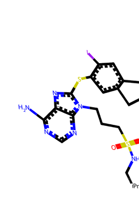 CC(C)CNS(=O)(=O)CCCn1c(Sc2cc3c(cc2I)CCC3)nc2c(N)ncnc21